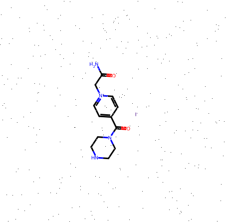 NC(=O)C[n+]1ccc(C(=O)N2CCNCC2)cc1.[I-]